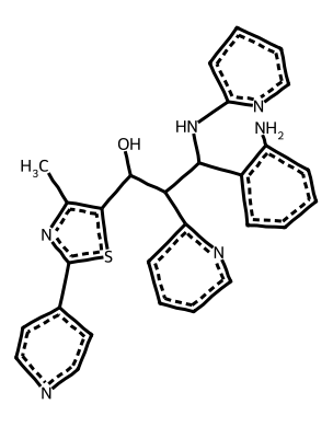 Cc1nc(-c2ccncc2)sc1C(O)C(c1ccccn1)C(Nc1ccccn1)c1ccccc1N